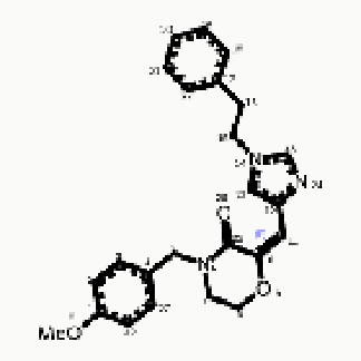 COc1ccc(CN2CCO/C(=C/c3cn(CCc4ccccc4)cn3)C2=O)cc1